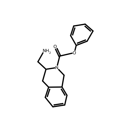 NCC1Cc2ccccc2CN1C(=O)Oc1ccccc1